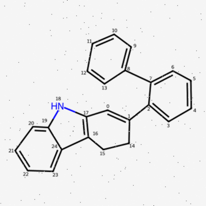 C1=C(c2ccccc2-c2ccccc2)CCc2c1[nH]c1ccccc21